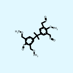 CC(C)(c1cc(CP=O)c(OP)c(CP=O)c1)c1cc(COP)c(P=O)c(COP)c1